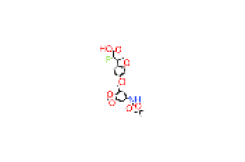 CC(C)(C)OC(=O)Nc1cc(COc2ccc3c(c2)OCC3C(F)C(=O)O)c2c(c1)OCO2